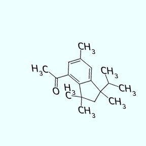 CC(=O)c1cc(C)cc2c1C(C)(C)CC2(C)C(C)C